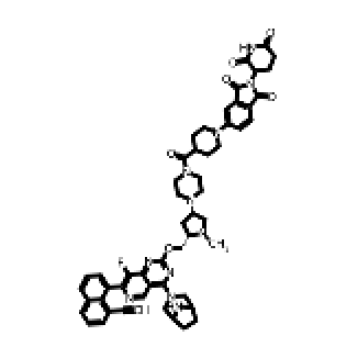 C#Cc1cccc2cccc(-c3ncc4c(N5CC6CCC(C5)N6)nc(OC[C@@H]5C[C@H](N6CCN(C(=O)C7CCN(c8ccc9c(c8)C(=O)N(C8CCC(=O)NC8=O)C9=O)CC7)CC6)CN5C)nc4c3F)c12